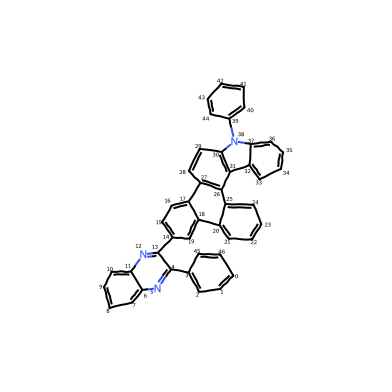 c1ccc(-c2nc3ccccc3nc2-c2ccc3c(c2)c2ccccc2c2c3ccc3c2c2ccccc2n3-c2ccccc2)cc1